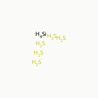 S.S.S.S.S.[SiH4]